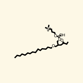 CCCCCCCCCCCCCCCOCC(COP(O)OCCC[N+](C)(C)C)CC(=O)CC